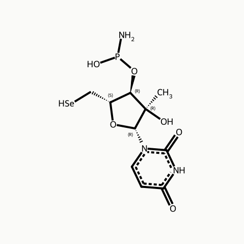 C[C@@]1(O)[C@H](OP(N)O)[C@@H](C[SeH])O[C@H]1n1ccc(=O)[nH]c1=O